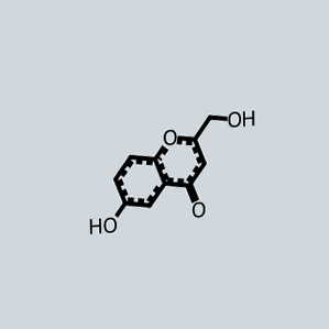 O=c1cc(CO)oc2ccc(O)cc12